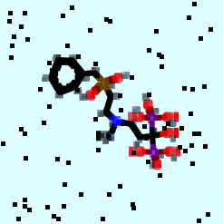 CN(CCC(O)(P(=O)(O)O)P(=O)(O)O)CCS(=O)(=O)Cc1ccccc1